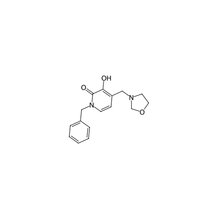 O=c1c(O)c(CN2CCOC2)ccn1Cc1ccccc1